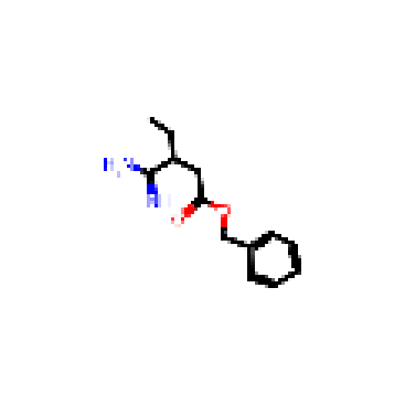 CCC(CC(=O)OCc1ccccc1)C(=N)N